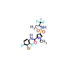 C[C@H](NS(=O)(=O)c1cc(C(=O)Nc2ccc(F)c(Br)c2F)n(C)c1)C(F)(F)F